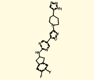 Fc1cc2c(cc1F)CC(Nc1ncc(-c3cc(N4CCC(c5cnn[nH]5)CC4)no3)cn1)C2